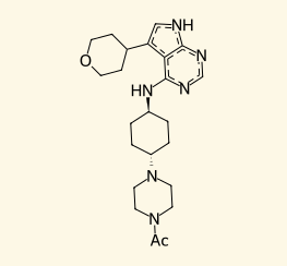 CC(=O)N1CCN([C@H]2CC[C@H](Nc3ncnc4[nH]cc(C5CCOCC5)c34)CC2)CC1